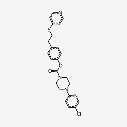 O=C(Oc1ccc(CCSc2ccncc2)cc1)N1CCN(c2ccc(Cl)cn2)CC1